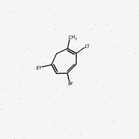 CCC1=CC(Br)=CC(Cl)=C(C)C1